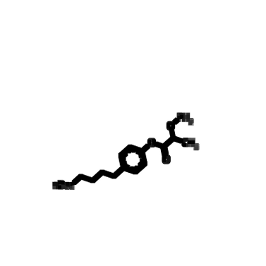 CCCCCCCCCCCCCCc1ccc(OC(=O)C(C)OP)cc1